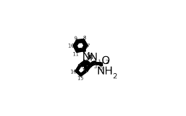 NC(=O)c1nn(-c2ccccc2)c2c1C1CCC2C1